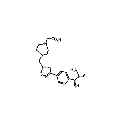 CCN(C)C(=N)c1ccc(C2=NOC(CN3CCN(CC(=O)O)CC3)C2)cc1